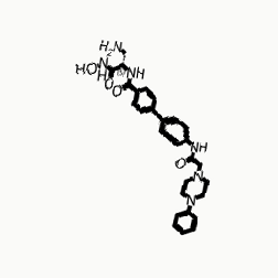 NC[C@H](NC(=O)c1ccc(-c2ccc(NC(=O)CN3CCN(c4ccccc4)CC3)cc2)cc1)C(=O)NO